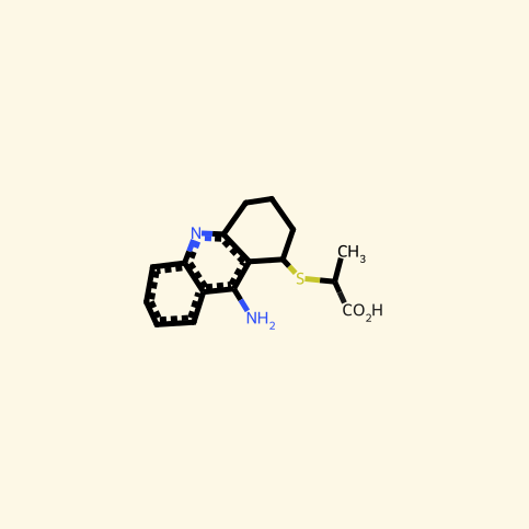 CC(SC1CCCc2nc3ccccc3c(N)c21)C(=O)O